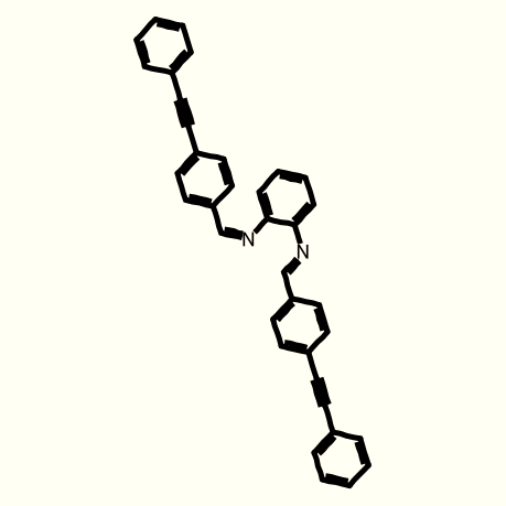 C(#Cc1ccc(C=Nc2ccccc2/N=C\c2ccc(C#Cc3ccccc3)cc2)cc1)c1ccccc1